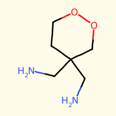 NCC1(CN)CCOOC1